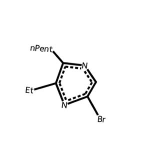 CC[CH]CCc1ncc(Br)nc1CC